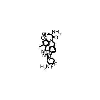 NC1CN(c2nnc(-c3cc4c(cc3F)S(=O)(=O)C[C@H](N)C(=O)N4Cc3ccc(Cl)cc3)o2)CCC1(F)F